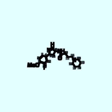 COc1ccc(C2=NNC(NC(=O)CCCN3CCCCC3)C2)cc1F